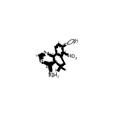 CC1(C)Cc2c(ccc(O)c2[N+](=O)[O-])-c2ncnc(N)c21